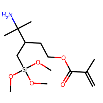 C=C(C)C(=O)OCCC(C[Si](OC)(OC)OC)C(C)(C)N